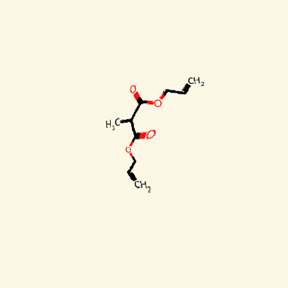 C=CCOC(=O)C(C)C(=O)OCC=C